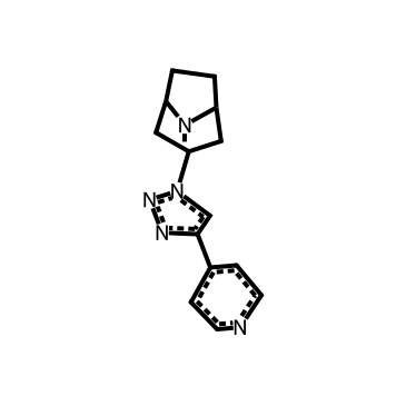 CN1C2CCC1CC(n1cc(-c3ccncc3)nn1)C2